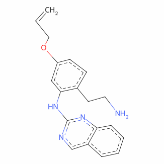 C=CCOc1ccc(CCN)c(Nc2ncc3ccccc3n2)c1